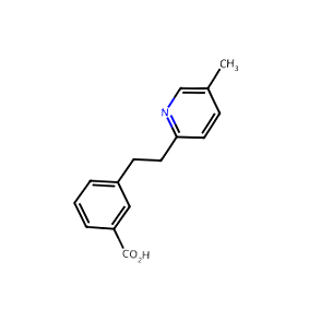 Cc1ccc(CCc2cccc(C(=O)O)c2)nc1